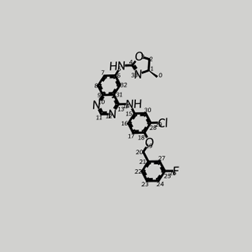 C[C@@H]1COC(Nc2ccc3ncnc(Nc4ccc(OCc5cccc(F)c5)c(Cl)c4)c3c2)=N1